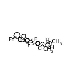 CC[C@H]1CCCCCC(C)(COc2cc(F)c(SSc3cc(Cl)c(OCC4(C)C[C@@H]5CC(C)C[C@@H](C5)C4)cc3F)cc2Cl)C1